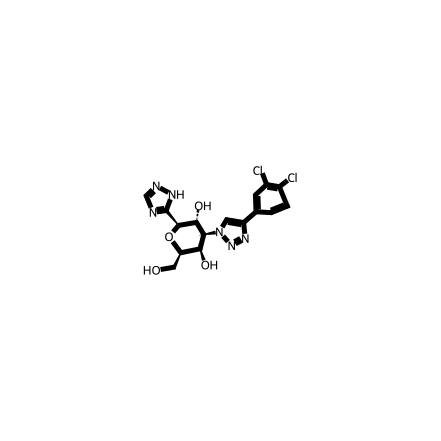 OC[C@H]1O[C@@H](c2ncn[nH]2)[C@H](O)[C@@H](n2cc(-c3ccc(Cl)c(Cl)c3)nn2)[C@H]1O